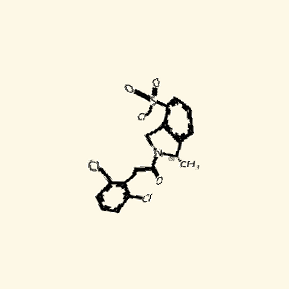 C[C@H]1c2cccc(S(=O)(=O)Cl)c2CN1C(=O)Cc1c(Cl)cccc1Cl